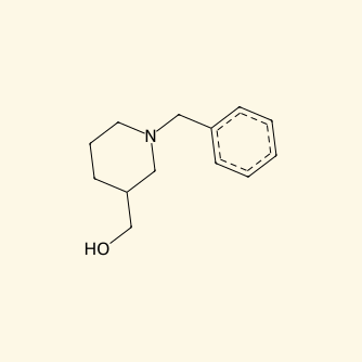 OCC1CCCN(Cc2ccccc2)C1